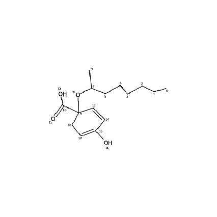 CCCCCCC(C)OC1(C(=O)O)C=CC(O)=CC1